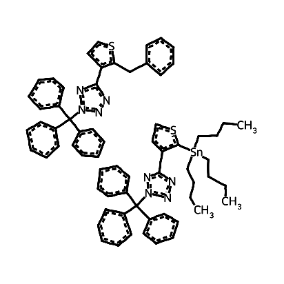 CCC[CH2][Sn]([CH2]CCC)([CH2]CCC)[c]1sccc1-c1nnn(C(c2ccccc2)(c2ccccc2)c2ccccc2)n1.c1ccc(Cc2sccc2-c2nnn(C(c3ccccc3)(c3ccccc3)c3ccccc3)n2)cc1